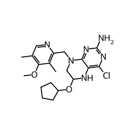 COc1c(C)cnc(CN2CC(OC3CCCC3)Nc3c(Cl)nc(N)nc32)c1C